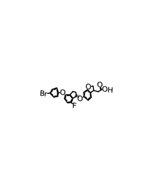 O=C(O)CC1COc2cc(O[C@@H]3CCc4c(Oc5ccc(Br)cc5)ccc(F)c43)ccc21